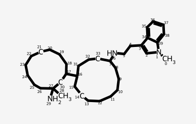 Cn1cc(CCNC2CCCCCCCCC(C3CCCCCCCCCC(C)(N)C3)CCC2)c2ccccc21